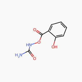 NC(=O)NOC(=O)c1ccccc1O